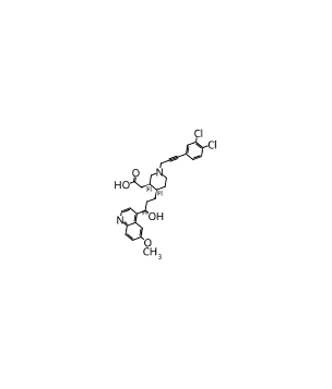 COc1ccc2nccc([C@H](O)CC[C@@H]3CCN(CC#Cc4ccc(Cl)c(Cl)c4)C[C@@H]3CC(=O)O)c2c1